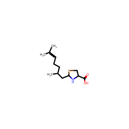 CC(C)=CCCC(C)CC1NC(C(=O)O)CS1